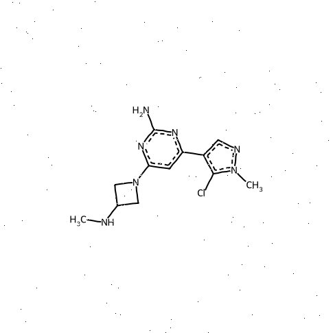 CNC1CN(c2cc(-c3cnn(C)c3Cl)nc(N)n2)C1